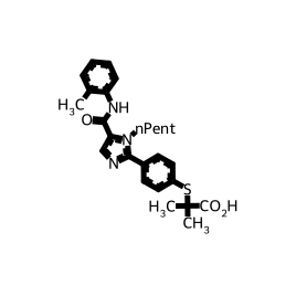 CCCCCn1c(C(=O)Nc2ccccc2C)cnc1-c1ccc(SC(C)(C)C(=O)O)cc1